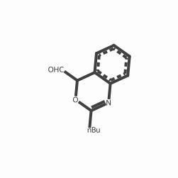 CCCCC1=Nc2ccccc2C(C=O)O1